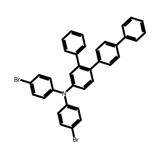 Brc1ccc(N(c2ccc(Br)cc2)c2ccc(-c3ccc(-c4ccccc4)cc3)c(-c3ccccc3)c2)cc1